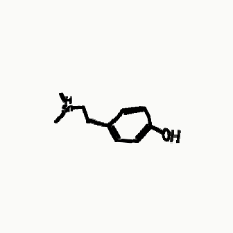 [CH3][SnH]([CH3])[CH2]Cc1ccc(O)cc1